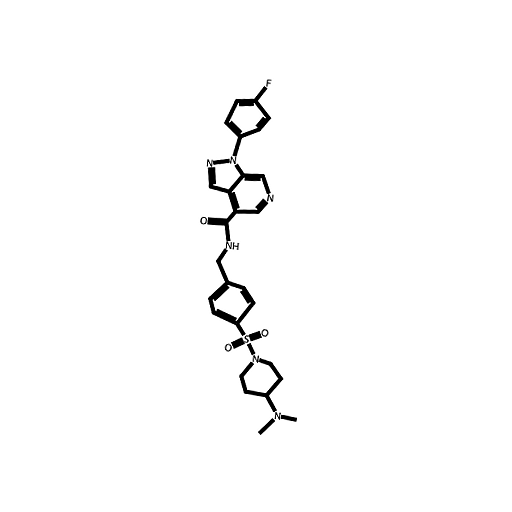 CN(C)C1CCN(S(=O)(=O)c2ccc(CNC(=O)c3cncc4c3cnn4-c3ccc(F)cc3)cc2)CC1